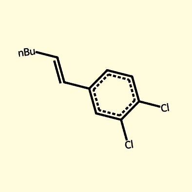 CCCCC=Cc1ccc(Cl)c(Cl)c1